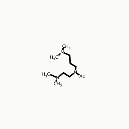 CC(=O)N(CCCN(C)C)CCN(C)C